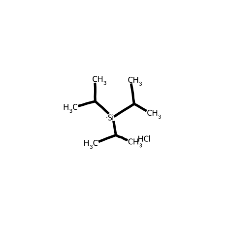 CC(C)[Si](C(C)C)C(C)C.Cl